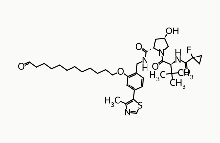 Cc1ncsc1-c1ccc(CNC(=O)[C@@H]2C[C@@H](O)CN2C(=O)[C@@H](NC(=O)C2(F)CC2)C(C)(C)C)c(OCCCCCCCCCCCC=O)c1